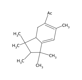 CC(=O)C1=C(C)C=C2C(C1)C(C)(C)C(C)C2(C)C